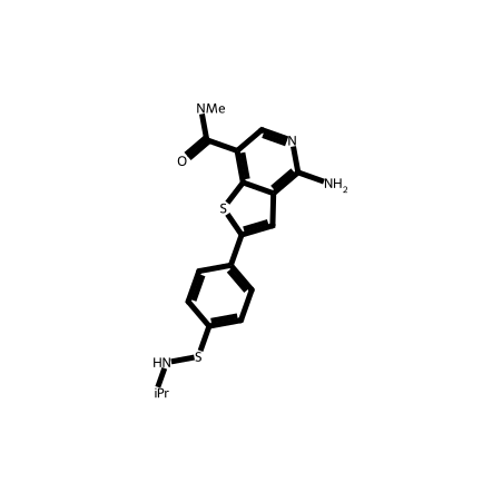 CNC(=O)c1cnc(N)c2cc(-c3ccc(SNC(C)C)cc3)sc12